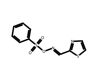 O=S(=O)(ON=Cc1nccs1)c1ccccc1